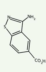 Nc1nsc2ccc(C(=O)O)cc12